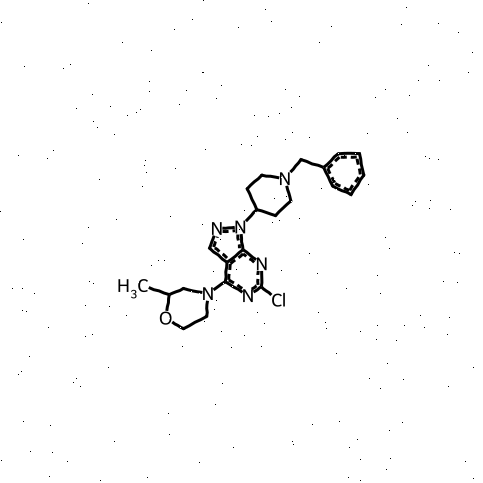 CC1CN(c2nc(Cl)nc3c2cnn3C2CCN(Cc3ccccc3)CC2)CCO1